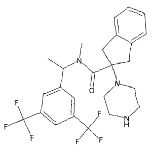 CC(c1cc(C(F)(F)F)cc(C(F)(F)F)c1)N(C)C(=O)C1(N2CCNCC2)Cc2ccccc2C1